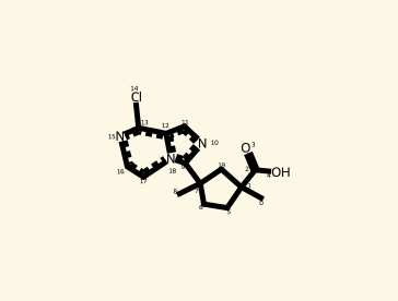 CC1(C(=O)O)CCC(C)(c2ncc3c(Cl)nccn23)C1